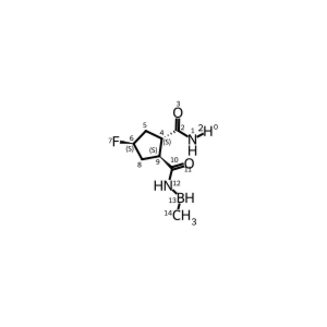 [2H]NC(=O)[C@H]1C[C@H](F)C[C@@H]1C(=O)NBC